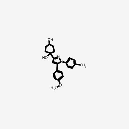 COc1ccc(-c2cc(C3(O)CCC(O)CC3)nn2-c2ccc(C)cc2)cc1